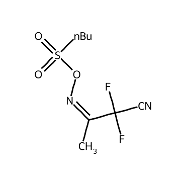 CCCCS(=O)(=O)ON=C(C)C(F)(F)C#N